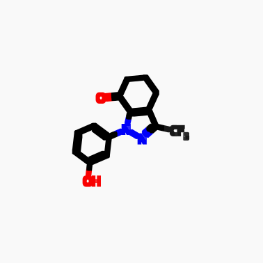 O=C1CCCc2c(C(F)(F)F)nn(-c3cccc(O)c3)c21